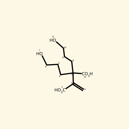 C=C(C(=O)O)C(CCCO)(CCCO)C(=O)O